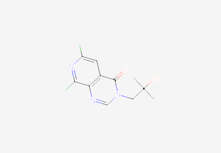 C[C@H](n1cnc2c(Cl)nc(Cl)cc2c1=O)C(C)(C)O